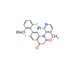 COc1cccc(F)c1-c1c(F)cc2c(c1F)N(c1c(C)ccnc1C(C)C)C(=O)CC2=O